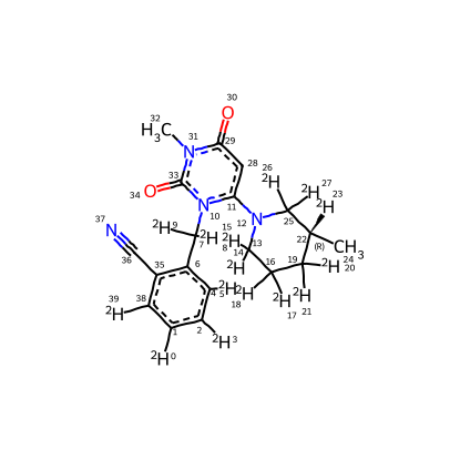 [2H]c1c([2H])c([2H])c(C([2H])([2H])n2c(N3C([2H])([2H])C([2H])([2H])C([2H])([2H])[C@@]([2H])(C)C3([2H])[2H])cc(=O)n(C)c2=O)c(C#N)c1[2H]